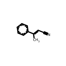 CC(=CC#N)c1cc[c]cc1